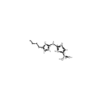 CCCCc1nnc(Sc2ncc([N+](=O)[O-])s2)s1